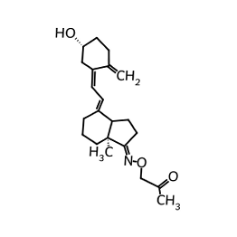 C=C1CC[C@@H](O)C/C1=C/C=C1\CCC[C@]2(C)/C(=N/OCC(C)=O)CCC12